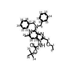 CCOCc1nc2c(N(Cc3ccccc3)Cc3ccccc3)nc(C)cc2n1NC(=O)OC(C)(C)C